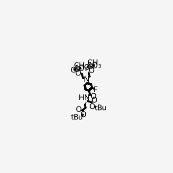 CC(C)(C)OC(=O)CC[C@H](NC(=O)c1ccc(N(CCOS(C)(=O)=O)CCOS(C)(=O)=O)cc1F)C(=O)OC(C)(C)C